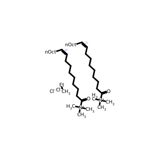 CCC.CCCCCCCC/C=C\CCCCCCCC(=O)[N+](C)(C)C.CCCCCCCC/C=C\CCCCCCCC(=O)[N+](C)(C)C.[Cl-].[Cl-]